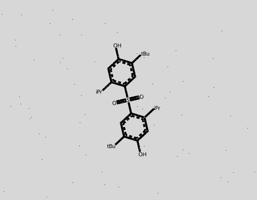 CC(C)c1cc(O)c(C(C)(C)C)cc1S(=O)(=O)c1cc(C(C)(C)C)c(O)cc1C(C)C